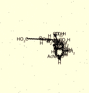 CC(=O)N[C@H]1CCCNC(=O)C[C@@H](C(=O)N2CCC[C@H]2C(=O)N2CCC[C@H]2C(=O)N[C@@H](CCCNC(=N)N)C(=O)N[C@@H](CCC(=O)O)C(=O)N[C@@H](CCCCN(CC(=O)O)CC(=O)O)CN[C@@H](CCCCNC(=O)COCCOCCNC(=O)CCCCCCCCCCCCCCC(=O)O)C(N)=O)NC(=O)[C@H](Cc2c[nH]c3ccccc23)NC(=O)[C@H](CCCNC(=N)N)NC(=O)CNC(=O)[C@H](Cc2c[nH]cn2)NC1=O